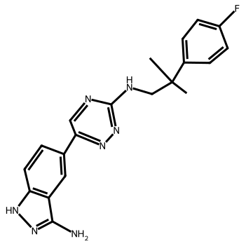 CC(C)(CNc1ncc(-c2ccc3[nH]nc(N)c3c2)nn1)c1ccc(F)cc1